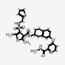 CNC(=O)c1cc(Oc2ccc3c(c2)CC(NC(=O)c2c(C)oc(C)c2S(=O)(=O)NCc2cccs2)CC3)ccn1